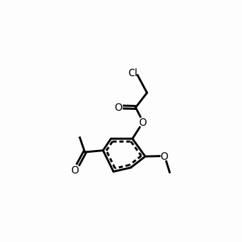 COc1ccc(C(C)=O)cc1OC(=O)CCl